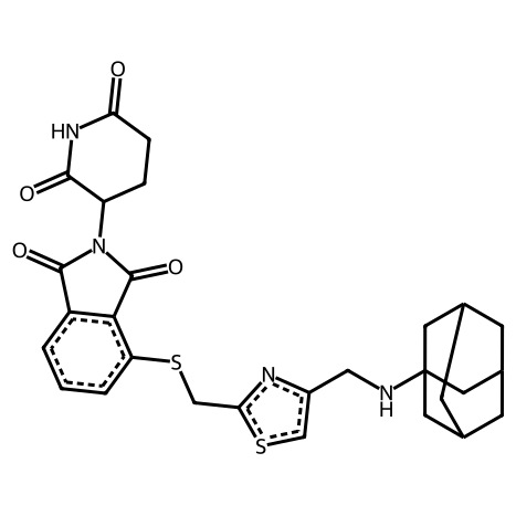 O=C1CCC(N2C(=O)c3cccc(SCc4nc(CNC56CC7CC(CC(C7)C5)C6)cs4)c3C2=O)C(=O)N1